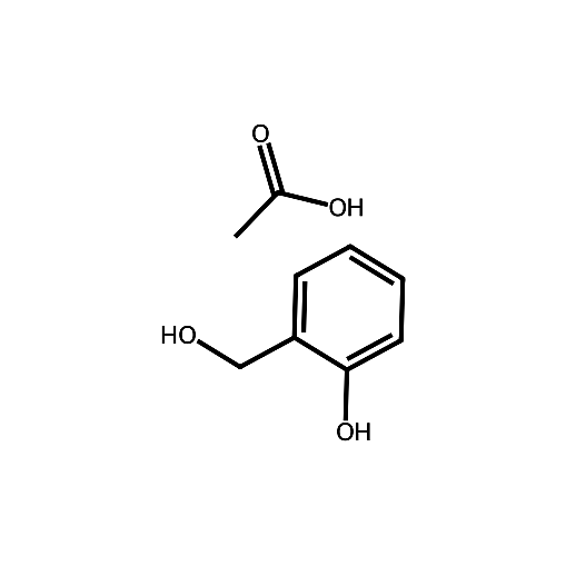 CC(=O)O.OCc1ccccc1O